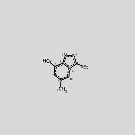 CCc1nnc2c(O)cc(C)cn12